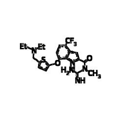 CCN(CC)Cc1ccc(Oc2ccc(C(F)(F)F)c3cc(C(=O)N(C)C(=N)N)[nH]c23)s1